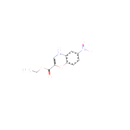 CCOC(=O)C1=CNc2cc([N+](=O)[O-])ccc2O1